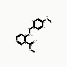 COC(=O)c1cnccc1SCc1ccc(OC)cc1